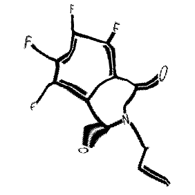 C=CCN1C(=O)c2c(F)c(F)c(F)c(F)c2C1=O